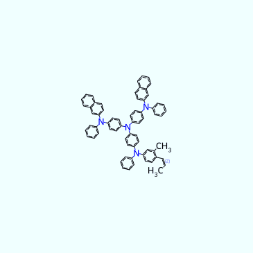 C/C=C\c1ccc(N(c2ccccc2)c2ccc(N(c3ccc(N(c4ccccc4)c4ccc5ccccc5c4)cc3)c3ccc(N(c4ccccc4)c4ccc5ccccc5c4)cc3)cc2)cc1C